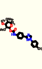 CCCO[C@@H]1[C@@H](OC)[C@H](C)O[C@@H](OC(=O)Nc2ccc(-c3ncn(-c4ccc(C)cc4)n3)cc2)[C@@H]1OC